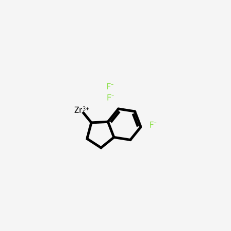 [F-].[F-].[F-].[Zr+3][CH]1CCC2CC=CC=C12